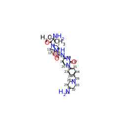 CC(C)(N)C(=O)N1CC2COCC1CN2C(=O)Nc1ccn(-c2ccc(CN3CCC(N)CC3)cc2)c(=O)n1